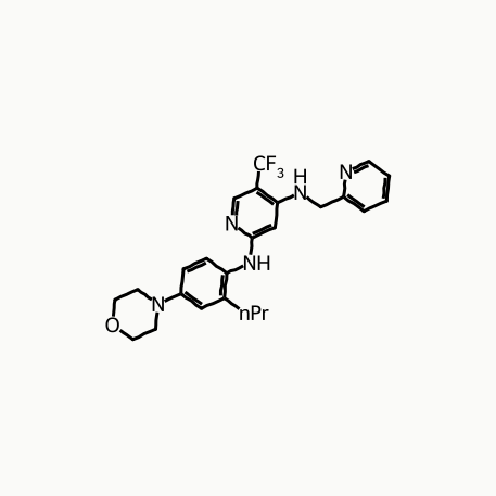 CCCc1cc(N2CCOCC2)ccc1Nc1cc(NCc2ccccn2)c(C(F)(F)F)cn1